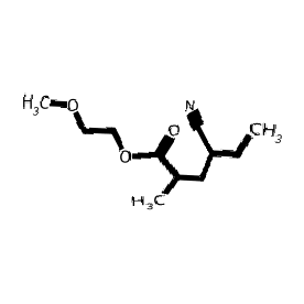 CCC(C#N)CC(C)C(=O)OCCOC